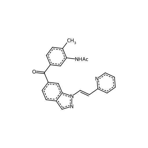 CC(=O)Nc1cc(C(=O)c2ccc3cnn(C=Cc4ccccn4)c3c2)ccc1C